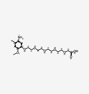 COc1cc(C)c(N)cc1OCCOCCOCCOCCOCC(=O)O